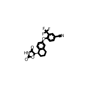 N#Cc1ccc(Oc2ccc3c(c2)CCC[C@H]3C2OC(=O)NC2=O)c(C(F)(F)F)c1